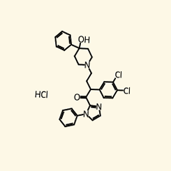 Cl.O=C(c1nccn1-c1ccccc1)C(CCN1CCC(O)(c2ccccc2)CC1)c1ccc(Cl)c(Cl)c1